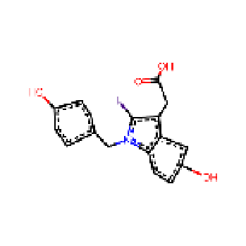 O=C(O)Cc1c(I)n(Cc2ccc(O)cc2)c2ccc(O)cc12